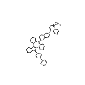 CN1CC=C(c2ccc3cc(N4c5ccccc5-c5c(n(-c6ccc(-c7ccccc7)cc6)c6ccccc56)-c5ccccc54)ccc3c2)c2ccccc21